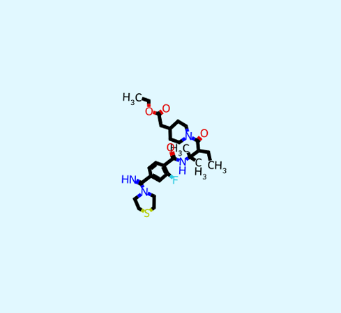 CCOC(=O)CC1CCN(C(=O)C(CC)C(C)(C)NC(=O)c2ccc(C(=N)N3CCSCC3)cc2F)CC1